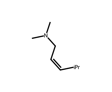 CC(C)/C=C\CN(C)C